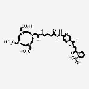 O=C(O)CN1CCN(CC(=O)O)CCN(CC(=O)NCCCC(=O)NNc2ccc(C(=O)NCC(=O)N3CCC[C@H]3B(O)O)cn2)CCN(CC(=O)O)CC1